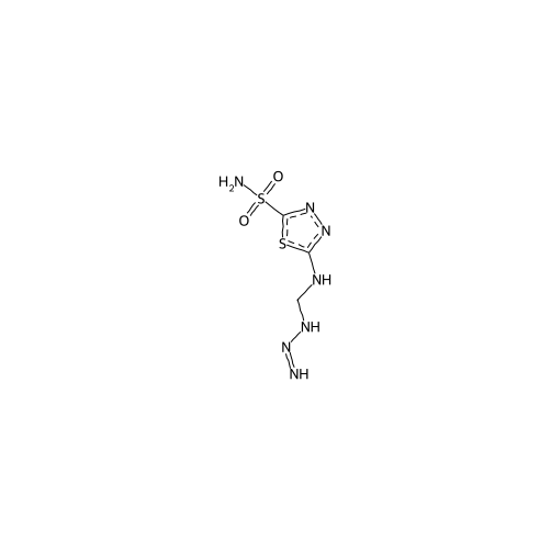 N=NNCNc1nnc(S(N)(=O)=O)s1